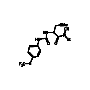 CCN(C#N)C(=O)C(CSC)NC(=O)Nc1ccc(SC(F)(F)F)cc1